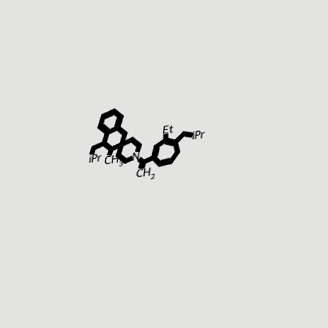 C=C(C1=CC(CC)=C(CC(C)C)CC=C1)N1CCC2(CC1)Cc1ccccc1C(CC(C)C)C2C